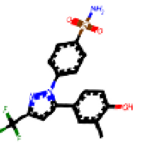 Cc1cc(-c2cc(C(F)(F)F)nn2-c2ccc(S(N)(=O)=O)cc2)ccc1O